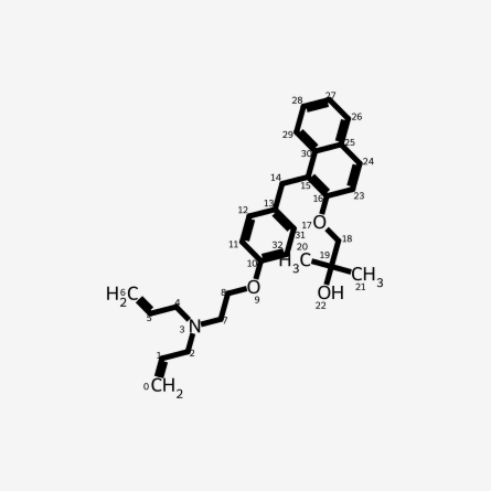 C=CCN(CC=C)CCOc1ccc(Cc2c(OCC(C)(C)O)ccc3ccccc23)cc1